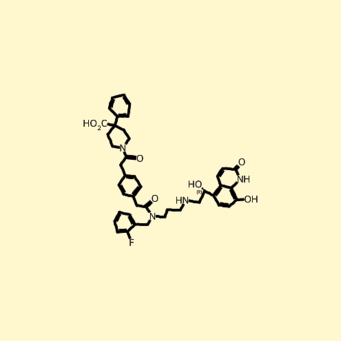 O=C(Cc1ccc(CC(=O)N(CCCNC[C@H](O)c2ccc(O)c3[nH]c(=O)ccc23)Cc2ccccc2F)cc1)N1CCC(C(=O)O)(c2ccccc2)CC1